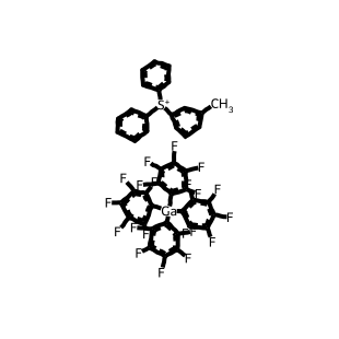 Cc1cccc([S+](c2ccccc2)c2ccccc2)c1.Fc1c(F)c(F)[c]([Ga-]([c]2c(F)c(F)c(F)c(F)c2F)([c]2c(F)c(F)c(F)c(F)c2F)[c]2c(F)c(F)c(F)c(F)c2F)c(F)c1F